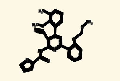 COCOc1ccccc1-c1cc(-c2cccc(N)c2OC)c(C#N)c(NC(=O)c2ccco2)n1